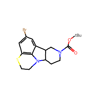 CC(C)(C)OC(=O)N1CCC2C(C1)c1cc(Br)cc3c1N2CCS3